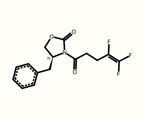 O=C(CCC(F)=C(F)F)N1C(=O)OC[C@@H]1Cc1ccccc1